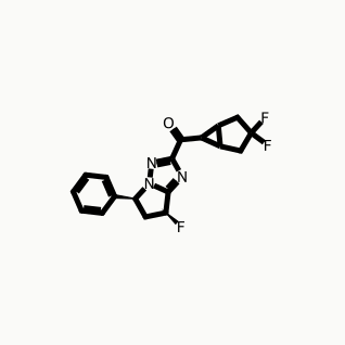 O=C(c1nc2n(n1)[C@H](c1ccccc1)C[C@@H]2F)C1C2CC(F)(F)CC21